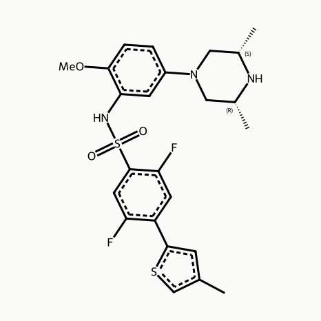 COc1ccc(N2C[C@@H](C)N[C@@H](C)C2)cc1NS(=O)(=O)c1cc(F)c(-c2cc(C)cs2)cc1F